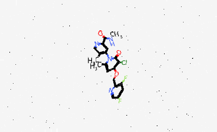 CNC(=O)c1cc(-n2c(C)cc(OCc3ncc(F)cc3F)c(Cl)c2=O)c(C)cn1